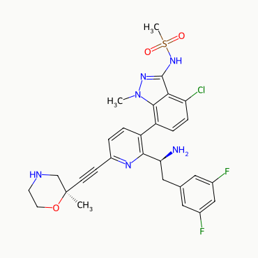 Cn1nc(NS(C)(=O)=O)c2c(Cl)ccc(-c3ccc(C#C[C@]4(C)CNCCO4)nc3[C@@H](N)Cc3cc(F)cc(F)c3)c21